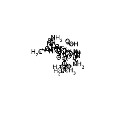 C=CCON=C(C(=O)NC1C(=O)N2C(C(=O)OCOC(=O)C(C)(C)C)=C(CSc3nnnn3CCN)CS[C@@H]12)c1nsc(N)n1.O=CO